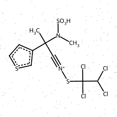 CN(C(C)(C#[N+]SC(Cl)(Cl)C(Cl)Cl)c1ccsc1)S(=O)(=O)O